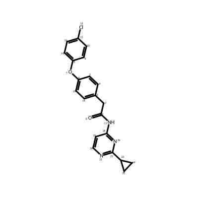 O=C(Cc1ccc(Oc2ccc(Cl)cc2)cc1)Nc1ccnc(C2CC2)n1